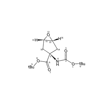 CC(C)(C)OC(=O)N[C@@]1(C(=O)OC(C)(C)C)C[C@@H]2O[C@@H]2C1